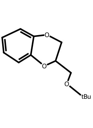 CC(C)(C)OCC1COc2ccccc2O1